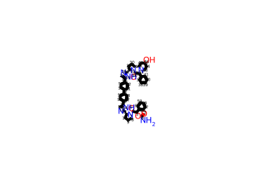 NC(=O)O[C@@H](C(=O)N1CCC[C@H]1c1ncc(-c2ccc(-c3ccc(-c4cnc([C@@H]5CCCN5C(=O)C(c5ccccc5)N5CCC(O)CC5)[nH]4)cc3)cc2)[nH]1)c1ccccc1